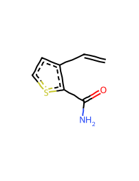 C=Cc1ccsc1C(N)=O